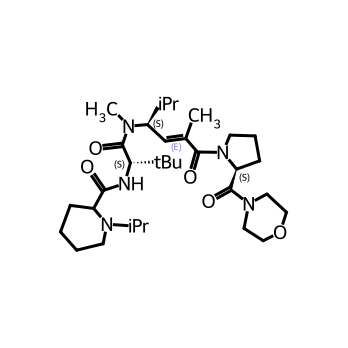 C/C(=C\[C@H](C(C)C)N(C)C(=O)[C@@H](NC(=O)C1CCCCN1C(C)C)C(C)(C)C)C(=O)N1CCC[C@H]1C(=O)N1CCOCC1